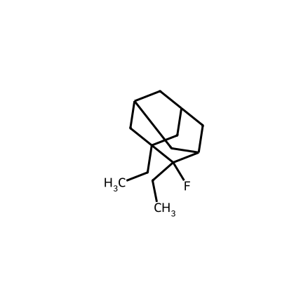 CCC12CC3CC(CC(C3)C1(F)CC)C2